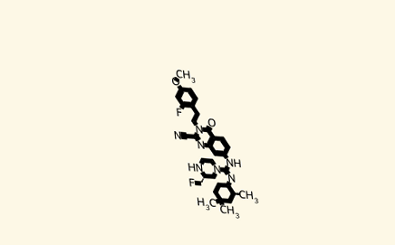 COc1ccc(CCn2c(C#N)nc3cc(N/C(=N/C4CCC(C)(C)C[C@@H]4C)N4CCN[C@@H](CF)C4)ccc3c2=O)c(F)c1